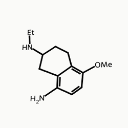 CCNC1CCc2c(OC)ccc(N)c2C1